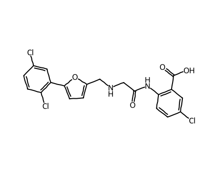 O=C(CNCc1ccc(-c2cc(Cl)ccc2Cl)o1)Nc1ccc(Cl)cc1C(=O)O